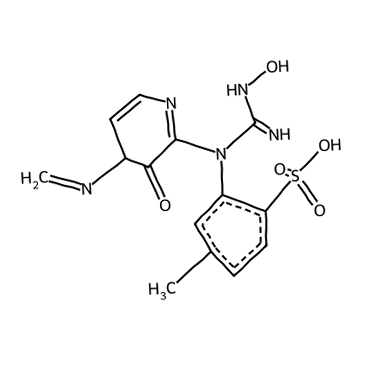 C=NC1C=CN=C(N(C(=N)NO)c2cc(C)ccc2S(=O)(=O)O)C1=O